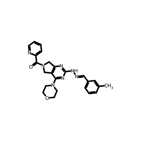 Cc1cccc(/C=N/Nc2nc3c(c(N4CCOCC4)n2)CN(C(=O)c2ccccn2)C3)c1